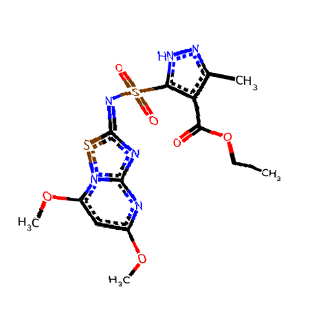 CCOC(=O)c1c(C)n[nH]c1S(=O)(=O)N=c1nc2nc(OC)cc(OC)n2s1